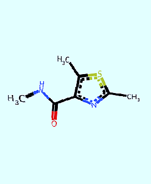 CNC(=O)c1nc(C)sc1C